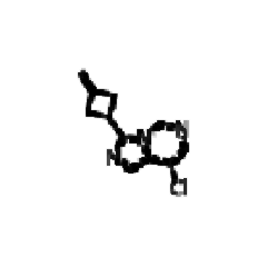 C=C1CC(c2ncc3c(Cl)cncn23)C1